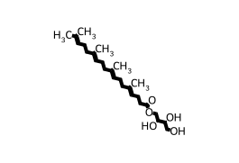 CC(C)=CCC/C(C)=C/CC/C(C)=C/CC/C(C)=C/CCC(=O)OC[C@H](O)[C@H](O)CO